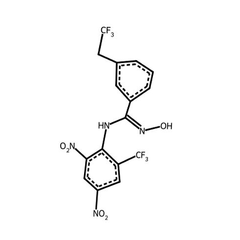 O=[N+]([O-])c1cc([N+](=O)[O-])c(NC(=NO)c2cccc(CC(F)(F)F)c2)c(C(F)(F)F)c1